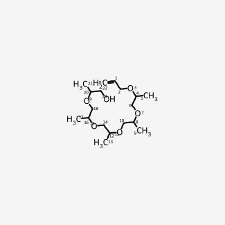 C=CCOC(C)COC(C)COC(C)COC(C)COC(C)CO